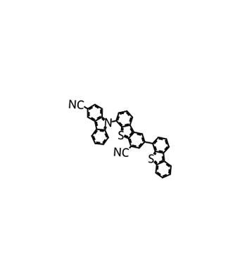 N#Cc1ccc2c(c1)c1ccccc1n2-c1cccc2c1sc1c(C#N)cc(-c3cccc4c3sc3ccccc34)cc12